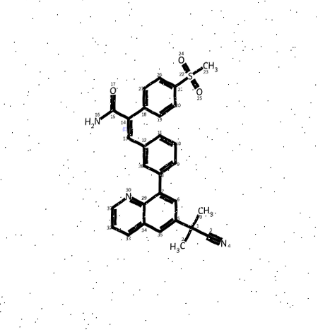 CC(C)(C#N)c1cc(-c2cccc(/C=C(/C(N)=O)c3ccc(S(C)(=O)=O)cc3)c2)c2ncccc2c1